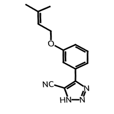 CC(C)=CCOc1cccc(-c2nn[nH]c2C#N)c1